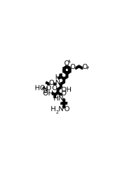 COCCCOc1cc(CC(CC(NC(=O)OC(C)ON(O)O)C(O)CC(C(=O)NCC(C)(C)C(N)=O)C(C)C)C(C)C)ccc1OC